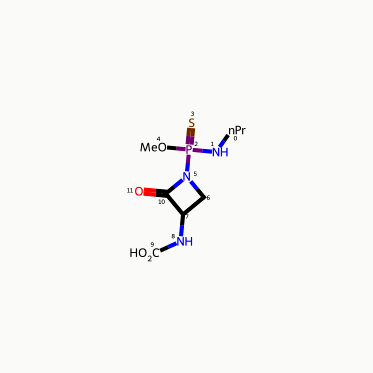 CCCNP(=S)(OC)N1CC(NC(=O)O)C1=O